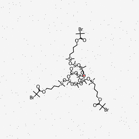 CC(C)(Br)C(=O)OCCCC[Si](C)(C)O[Si]1(C)O[Si]2(C)O[Si](C)(O[Si](C)(C)CCCCOC(=O)C(C)(C)Br)O[Si]3(C)O[Si](C)(O[Si](C)(C)CCCCOC(=O)C(C)(C)Br)O[Si](C)(O1)O[Si](C)(O2)O3